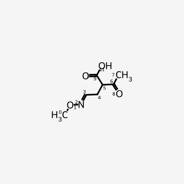 CON=CCC(C(C)=O)C(=O)O